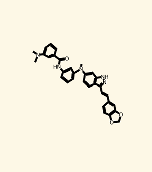 CN(C)c1cccc(C(=O)Nc2cccc(N(C)c3ccc4c(/C=C/c5ccc6c(c5)OCO6)n[nH]c4c3)c2)c1